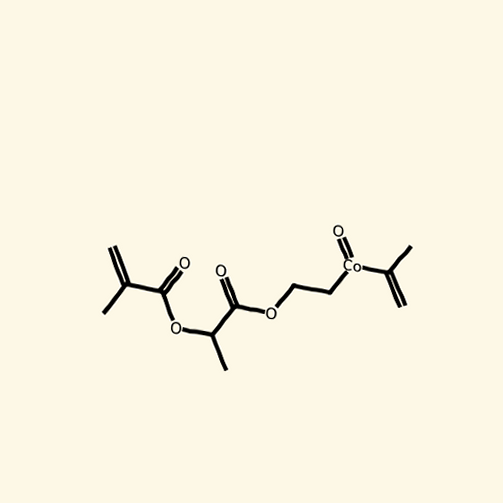 C=C(C)C(=O)OC(C)C(=O)OC[CH2][Co](=[O])[C](=C)C